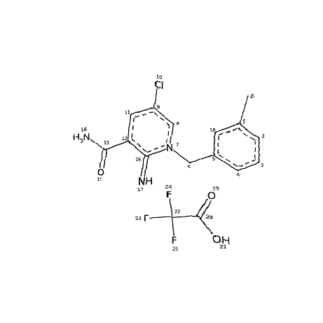 Cc1cccc(Cn2cc(Cl)cc(C(N)=O)c2=N)c1.O=C(O)C(F)(F)F